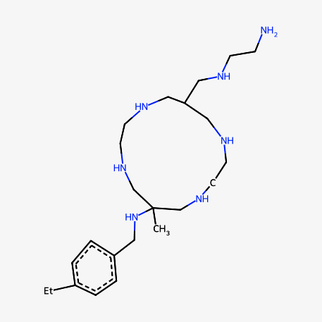 CCc1ccc(CNC2(C)CNCCNCC(CNCCN)CNCCNC2)cc1